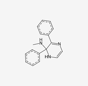 CNC1(c2ccccc2)NC=CN=C1c1ccccc1